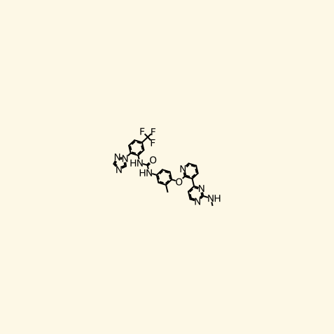 CNc1nccc(-c2cccnc2Oc2ccc(NC(=O)Nc3cc(C(F)(F)F)ccc3-n3cncn3)cc2C)n1